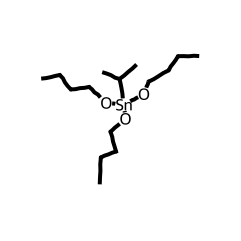 CCCC[O][Sn]([O]CCCC)([O]CCCC)[CH](C)C